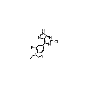 CCn1cnc2cc(-c3nc(Cl)nc4[nH]cnc34)cc(F)c21